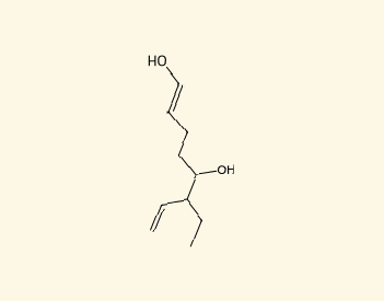 C=CC(CC)C(O)CC/C=C/O